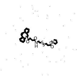 O=C(CCC(=O)N1Cc2ccccc2C#Cc2ccccc21)NCCSSCCC(=O)ON1CCCC1